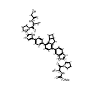 COC(=O)N[C@H](C(=O)N1CCC[C@H]1c1nc2ccc(-c3ccc(-c4ccc(-c5cnc([C@@H]6CCCN6C(=O)[C@@H](NC(=O)CO)C(C)C)[nH]5)cn4)c4c3CC3CCC43)cc2[nH]1)C(C)C